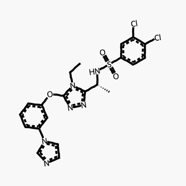 CCn1c(Oc2cccc(-n3ccnc3)c2)nnc1[C@@H](C)NS(=O)(=O)c1ccc(Cl)c(Cl)c1